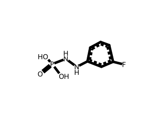 O=P(O)(O)NNc1cccc(F)c1